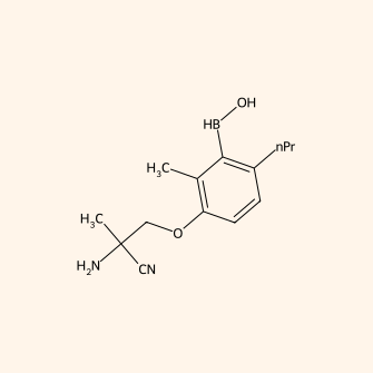 CCCc1ccc(OCC(C)(N)C#N)c(C)c1BO